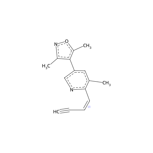 C#C/C=C\c1ncc(-c2c(C)noc2C)cc1C